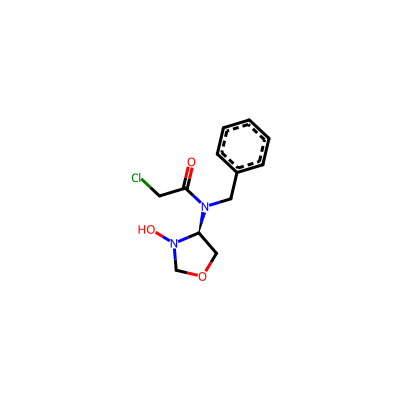 O=C(CCl)N(Cc1ccccc1)[C@H]1COCN1O